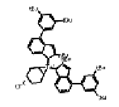 CCCCC1=Cc2c(-c3cc(C(C)(C)C)cc(C(C)(C)C)c3)cccc2[CH]1[Ti+2]1([CH]2C(CCCC)=Cc3c(-c4cc(C(C)(C)C)cc(C(C)(C)C)c4)cccc32)[CH]2CCCC[CH]21.[Cl-].[Cl-]